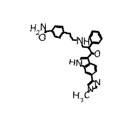 Cn1cnc(-c2ccc3c(C(=O)C(CNCCc4ccc(C(N)=O)cc4)c4ccccc4)c[nH]c3c2)c1